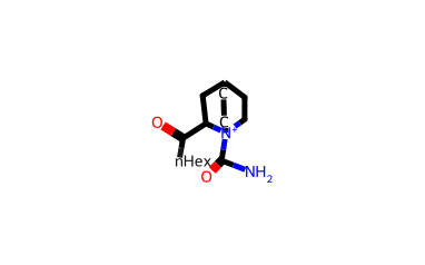 CCCCCCC(=O)C1CC2CC[N+]1(C(N)=O)CC2